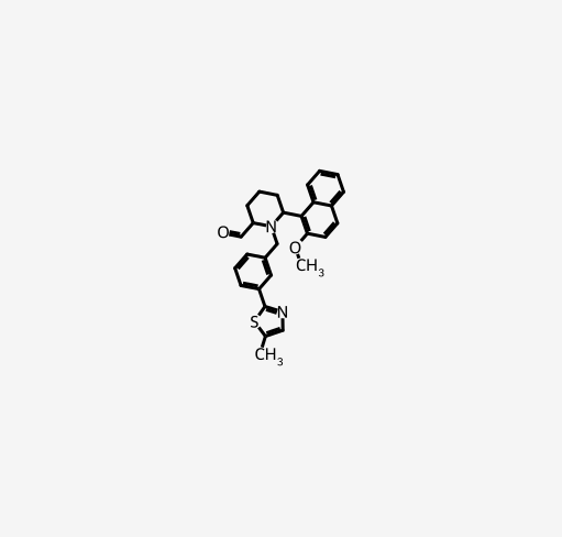 COc1ccc2ccccc2c1C1CCCC(C=O)N1Cc1cccc(-c2ncc(C)s2)c1